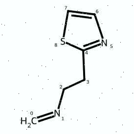 C=NCCc1nccs1